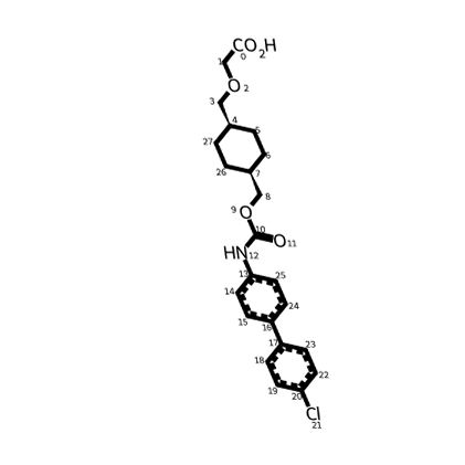 O=C(O)COC[C@H]1CC[C@@H](COC(=O)Nc2ccc(-c3ccc(Cl)cc3)cc2)CC1